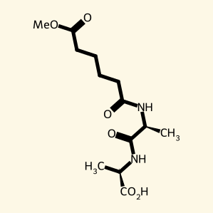 COC(=O)CCCCC(=O)N[C@@H](C)C(=O)N[C@H](C)C(=O)O